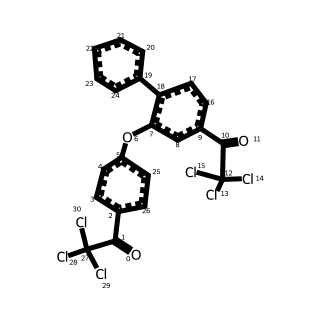 O=C(c1ccc(Oc2cc(C(=O)C(Cl)(Cl)Cl)ccc2-c2ccccc2)cc1)C(Cl)(Cl)Cl